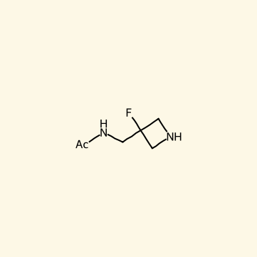 CC(=O)NCC1(F)CNC1